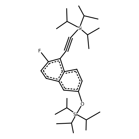 CC(C)[Si](C#Cc1c(F)ccc2cc(O[Si](C(C)C)(C(C)C)C(C)C)ccc12)(C(C)C)C(C)C